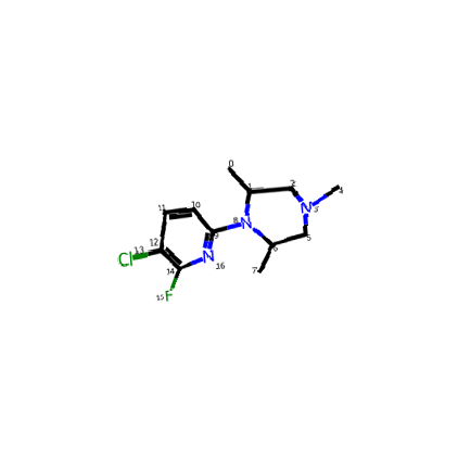 CC1CN(C)CC(C)N1c1ccc(Cl)c(F)n1